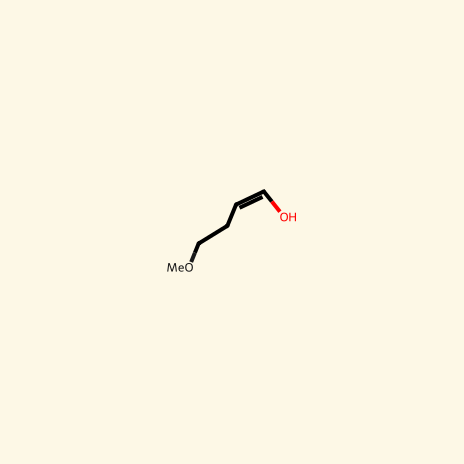 COCC/C=C\O